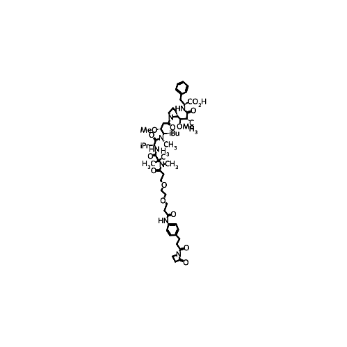 CC[C@H](C)[C@@H]([C@@H](CC(=O)N1CCC[C@H]1[C@H](OC)[C@@H](C)C(=O)N[C@@H](Cc1ccccc1)C(=O)O)OC)N(C)C(=O)[C@@H](NC(=O)C(C)(C)N(C)C(=O)CCOCCOCCC(=O)Nc1ccc(CCC(=O)N2CCC2=O)cc1)C(C)C